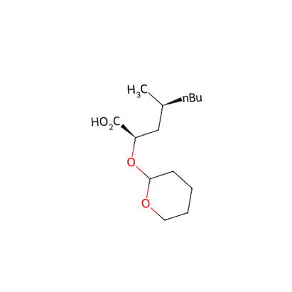 CCCC[C@H](C)C[C@@H](OC1CCCCO1)C(=O)O